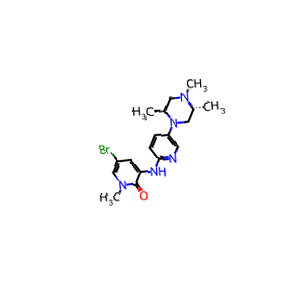 C[C@@H]1CN(c2ccc(Nc3cc(Br)cn(C)c3=O)nc2)[C@@H](C)CN1C